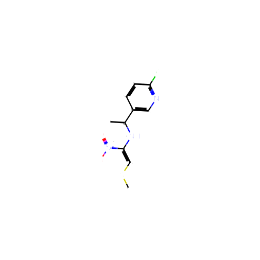 CSC=C(NC(C)c1ccc(Cl)nc1)[N+](=O)[O-]